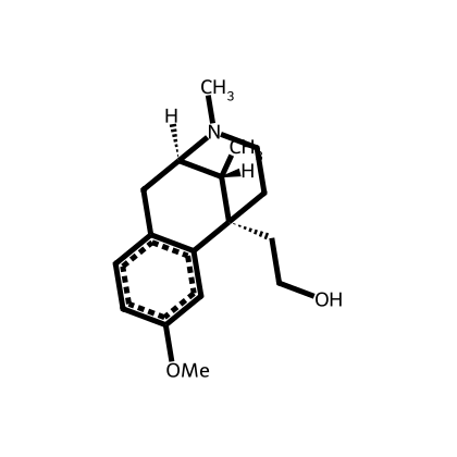 COc1ccc2c(c1)[C@]1(CCO)CCN(C)[C@H](C2)[C@@H]1C